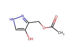 CC(=O)OCc1n[nH]cc1O